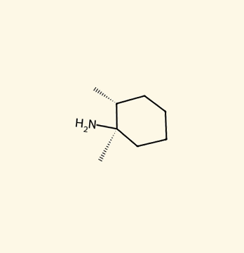 C[C@@H]1CCCC[C@@]1(C)N